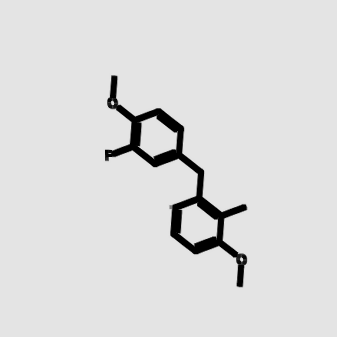 COc1ccc(Cc2[c]ccc(OC)c2C)cc1F